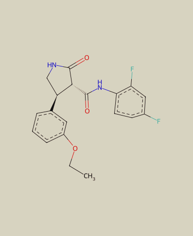 CCOc1cccc([C@H]2CNC(=O)[C@@H]2C(=O)Nc2ccc(F)cc2F)c1